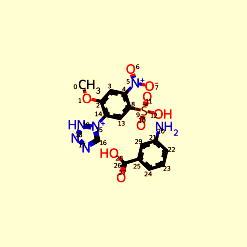 COc1cc([N+](=O)[O-])c(S(=O)(=O)O)cc1-[n+]1cnn[nH]1.Nc1cccc(C(=O)O)c1